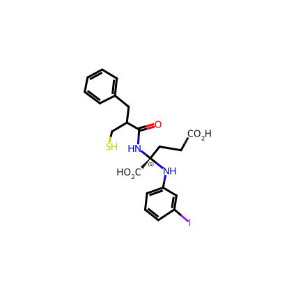 O=C(O)CC[C@@](NC(=O)C(CS)Cc1ccccc1)(Nc1cccc(I)c1)C(=O)O